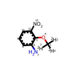 [2H]C([2H])([2H])Oc1c(N)cccc1[N+](=O)[O-]